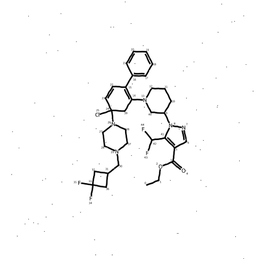 CCOC(=O)c1cnn(C2CCCN(C3=C(c4ccccc4)C=CC(Cl)(N4CCN(CC5CC(F)(F)C5)CC4)C3)C2)c1C(F)F